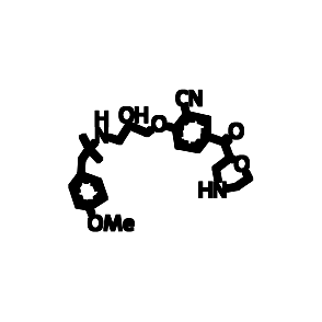 COc1ccc(CC(C)(C)NC[C@@H](O)COc2ccc(C(=O)C3CNCCO3)cc2C#N)cc1